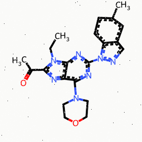 CCn1c(C(C)=O)nc2c(N3CCOCC3)nc(-n3ncc4cc(C)ccc43)nc21